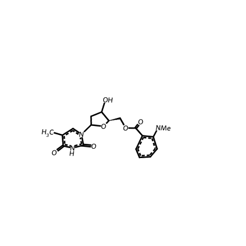 CNc1ccccc1C(=O)OC[C@H]1OC(n2cc(C)c(=O)[nH]c2=O)CC1O